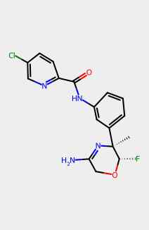 C[C@@]1(c2cccc(NC(=O)c3ccc(Cl)cn3)c2)N=C(N)CO[C@H]1F